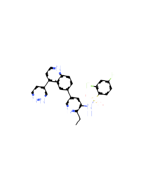 CCc1ncc(-c2ccc3nccc(-c4ccnnc4)c3c2)cc1NS(=O)(=O)c1ccc(F)cc1F